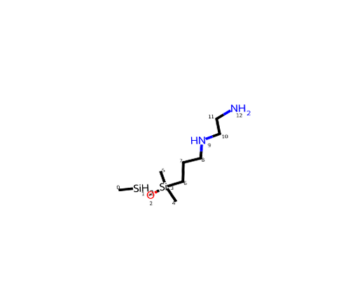 C[SiH2]O[Si](C)(C)CCCNCCN